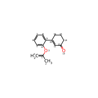 C=C(C)Oc1ccccc1C1=CC(=O)CCC1